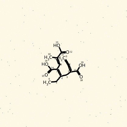 C=C=C(CC(CC)=C(C=C(C)C(=O)O)C(=O)O)C(=O)O